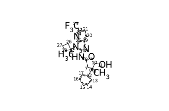 CC1(n2c(NC(=O)C[C@@](C)(CO)c3ccccc3)nc3ccc(C(F)(F)F)nc32)CCC1